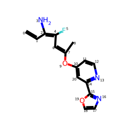 C=C/C(N)=C(F)\C=C(/C)Oc1ccnc(-c2ncco2)c1